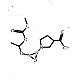 COC(=O)OC(C)On1on1N1CCC(C(=O)O)C1